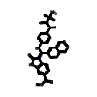 COC(=O)c1ccc2c(c1)NC(=O)/C2=C(\Nc1ccc(N(C)C(=O)C(C)(C)N)cc1)c1ccc2cnncc2c1